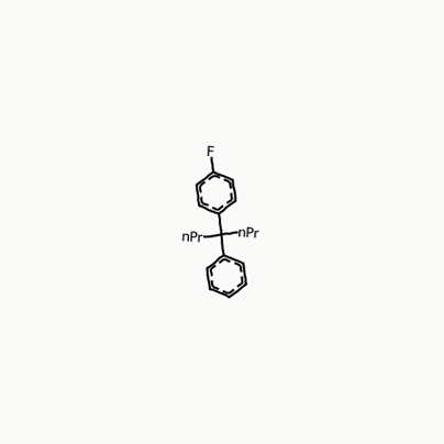 CCCC(CCC)(c1ccccc1)c1ccc(F)cc1